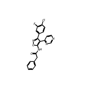 O=C(Cc1ccccc1)Nc1onc(-c2ccc(Cl)c(F)c2)c1-c1ccncn1